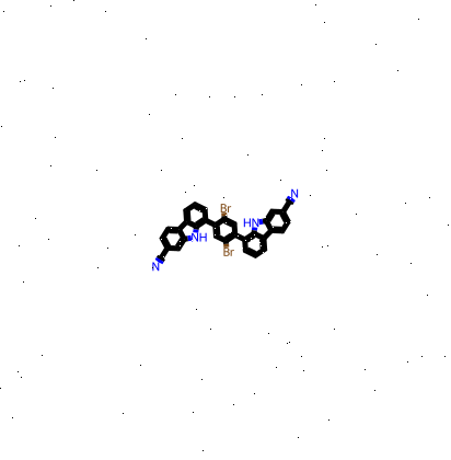 N#Cc1ccc2c(c1)[nH]c1c(-c3cc(Br)c(-c4cccc5c4[nH]c4cc(C#N)ccc45)cc3Br)cccc12